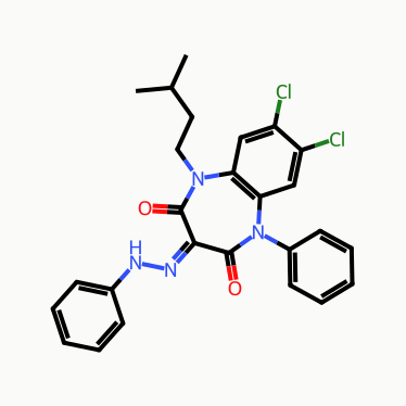 CC(C)CCn1c(=O)c(=NNc2ccccc2)c(=O)n(-c2ccccc2)c2cc(Cl)c(Cl)cc21